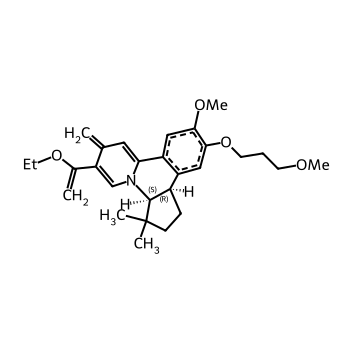 C=C1C=C2c3cc(OC)c(OCCCOC)cc3[C@H]3CCC(C)(C)[C@H]3N2C=C1C(=C)OCC